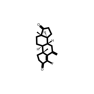 C=C1C[C@@H]2[C@H](CC[C@]3(C)C(=O)CC[C@@H]23)[C@@]2(C)CCC(=O)C(F)=C12